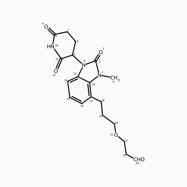 Cn1c(=O)n(C2CCC(=O)NC2=O)c2cccc(CCCOCCC=O)c21